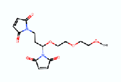 CCCOCCOCCOC(CCN1C(=O)C=CC1=O)N1C(=O)C=CC1=O